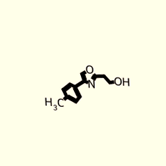 Cc1ccc(-c2coc(CCO)n2)cc1